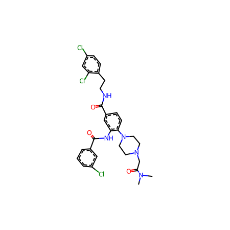 CN(C)C(=O)CN1CCN(c2ccc(C(=O)NCCc3ccc(Cl)cc3Cl)cc2NC(=O)c2cccc(Cl)c2)CC1